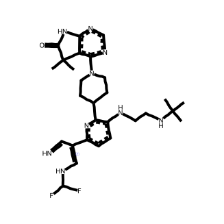 CC(C)(C)NCCNc1ccc(/C(C=N)=C/NC(F)F)nc1C1CCN(c2ncnc3c2C(C)(C)C(=O)N3)CC1